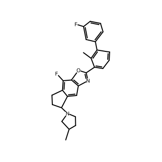 Cc1c(-c2cccc(F)c2)cccc1-c1nc2cc3c(c(F)c2o1)CCC3N1CCC(C)C1